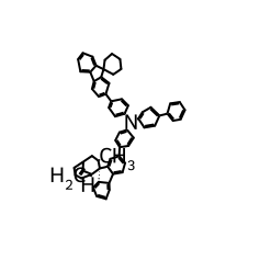 C=C1C2CCC[C@H]1[C@@]1(c3ccccc3-c3ccc(-c4ccc(N(c5ccc(-c6ccccc6)cc5)c5ccc(-c6ccc7c(c6)C6(CCCCC6)c6ccccc6-7)cc5)cc4)cc31)[C@@H](C)C2